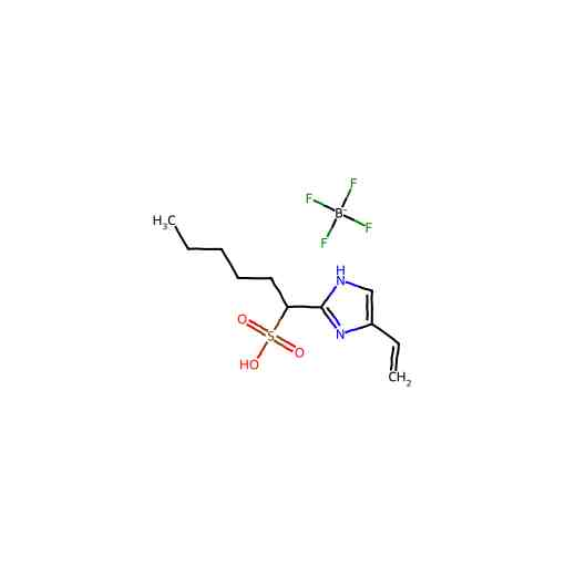 C=Cc1c[nH]c(C(CCCCC)S(=O)(=O)O)n1.F[B-](F)(F)F